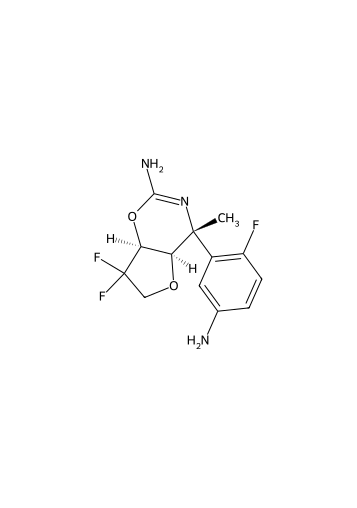 C[C@]1(c2cc(N)ccc2F)N=C(N)O[C@H]2[C@@H]1OCC2(F)F